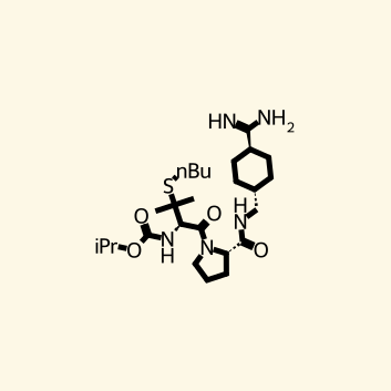 CCCCSC(C)(C)[C@@H](NC(=O)OC(C)C)C(=O)N1CCC[C@H]1C(=O)NC[C@H]1CC[C@H](C(=N)N)CC1